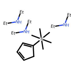 CCNCC.CCNCC.CCNCC.[CH3][Ti]([CH3])([CH3])([CH3])([CH3])[C]1=CC=CC1